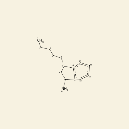 CCCCC[C@H]1C[C@@H](N)c2ccccc21